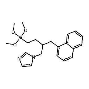 CO[Si](CCC(Cc1cccc2ccccc12)Cn1ccnc1)(OC)OC